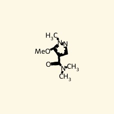 COc1c(C(=O)N(C)C)cnn1C